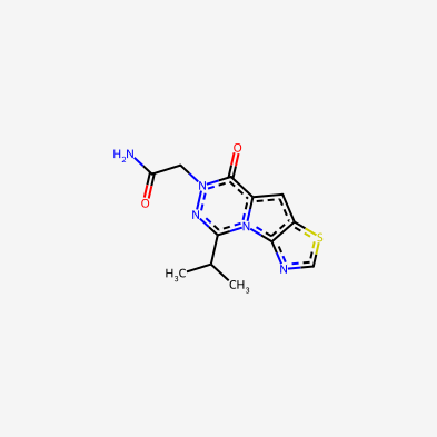 CC(C)c1nn(CC(N)=O)c(=O)c2cc3scnc3n12